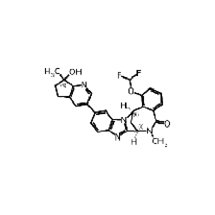 CN1C(=O)c2cccc(OC(F)F)c2[C@H]2C[C@@H]1c1nc3ccc(-c4cnc5c(c4)CC[C@]5(C)O)cc3n12